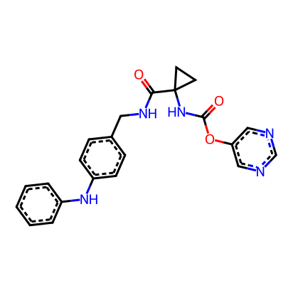 O=C(NC1(C(=O)NCc2ccc(Nc3ccccc3)cc2)CC1)Oc1cncnc1